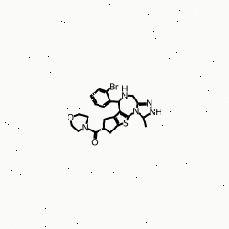 CC1NN=C2CNC(c3ccccc3Br)c3c(sc4c3CC(C(=O)N3CCOCC3)C4)N21